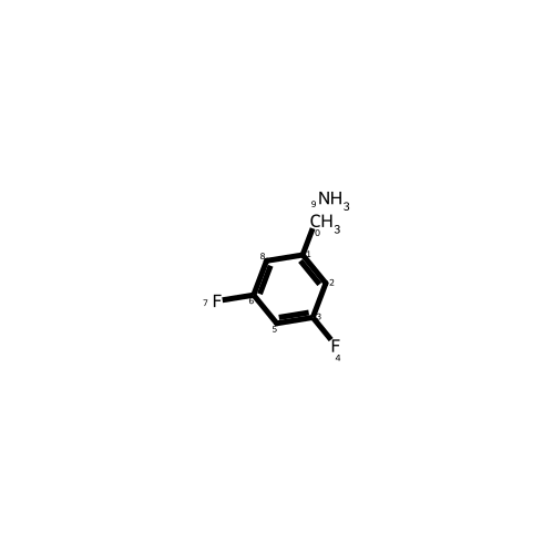 Cc1cc(F)cc(F)c1.N